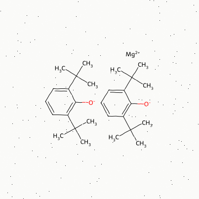 CC(C)(C)c1cccc(C(C)(C)C)c1[O-].CC(C)(C)c1cccc(C(C)(C)C)c1[O-].[Mg+2]